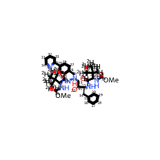 [2H]C([2H])([2H])C([C@H](NC(=O)OC)C(=O)N[C@@H](Cc1ccccc1)[C@@H](O)CN(Cc1ccc(-c2ccccn2)cc1)NC(=O)[C@@H](NC(=O)OC)C(C([2H])([2H])[2H])(C([2H])([2H])[2H])C([2H])([2H])[2H])(C([2H])([2H])[2H])C([2H])([2H])[2H]